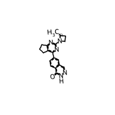 C[C@H]1CCN1c1nc2c(c(-c3ccc4c(=O)[nH]ncc4c3)n1)CCC2